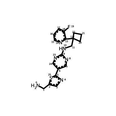 NCc1cnc(-c2cnc(NCC3(c4ncccc4F)CCC3)nc2)s1